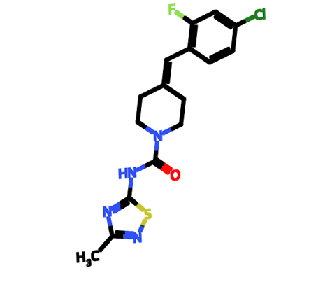 Cc1nsc(NC(=O)N2CCC(=Cc3ccc(Cl)cc3F)CC2)n1